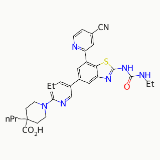 C=C(/N=C\C(=C/CC)c1cc(-c2cc(C#N)ccn2)c2sc(NC(=O)NCC)nc2c1)N1CCC(CCC)(C(=O)O)CC1